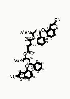 CNC(C[C@H](Oc1cccc2sc(C#N)cc12)c1ccccc1)OC(=O)/C=C/C(=O)OC(C[C@H](Oc1cccc2sc(C#N)cc12)c1ccccc1)NC